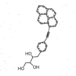 OCC(O)C(O)Cc1ccc(C#Cc2ccc3ccc4cccc5ccc2c3c45)cc1